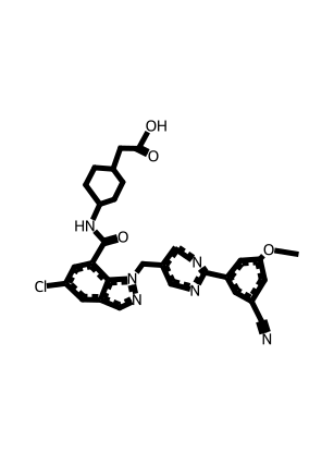 COc1cc(C#N)cc(-c2ncc(Cn3ncc4cc(Cl)cc(C(=O)NC5CCC(CC(=O)O)CC5)c43)cn2)c1